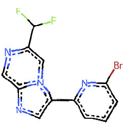 FC(F)c1cn2c(-c3cccc(Br)n3)cnc2cn1